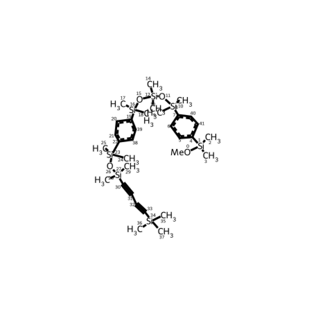 CO[Si](C)(C)c1ccc([Si](C)(C)O[Si](C)(C)O[Si](C)(C)c2ccc([Si](C)(C)O[Si](C)(C)C#CC#C[Si](C)(C)C)cc2)cc1